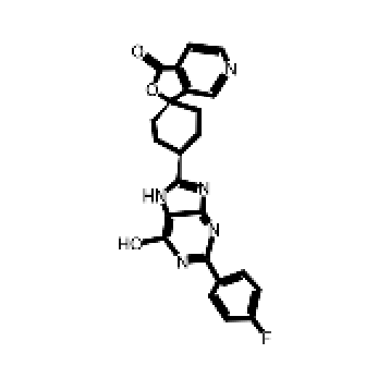 O=C1O[C@]2(CC[C@H](c3nc4nc(-c5ccc(F)cc5)nc(O)c4[nH]3)CC2)c2cnccc21